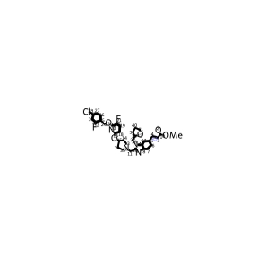 COC(=O)/C=C/c1ccc2nc(CN3CCC(Oc4ccc(F)c(OCc5ccc(Cl)cc5F)n4)CC3)n(CC3CCCO3)c2c1